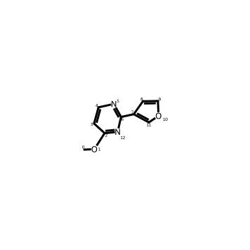 COc1ccnc(-c2ccoc2)n1